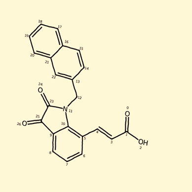 O=C(O)C=Cc1cccc2c1N(Cc1ccc3ccccc3c1)C(=O)C2=O